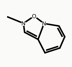 CN1C=C2C=CC=CN2O1